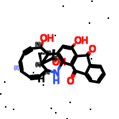 C[C@@H](O)[C@@]12C[C@]13c1cc(O)c4c(c1N[C@H]2C#C/C=C\C#C[C@H]3O)C(=O)c1ccccc1C4=O